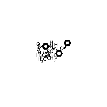 CC(C)(C)[Si](C)(C)Oc1cc([N+](=O)[O-])ccc1NC(=O)N[C@@H]1CCCC[C@H]1OCc1ccccc1